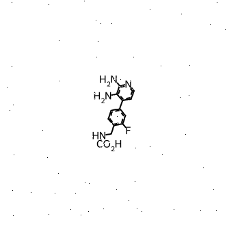 Nc1nccc(-c2ccc(CNC(=O)O)c(F)c2)c1N